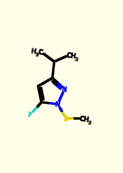 CSn1nc(C(C)C)cc1F